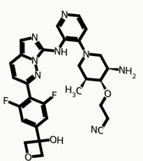 C[C@H]1CN(c2ccncc2Nc2ncc3ccc(-c4c(F)cc(C5(O)COC5)cc4F)nn23)C[C@@H](N)[C@H]1OCCC#N